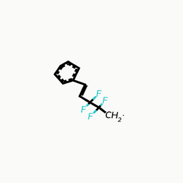 [CH2]C(F)(F)C(F)(F)C=Cc1ccccc1